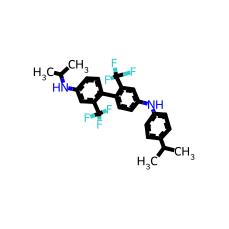 CC(C)Nc1ccc(-c2ccc(Nc3ccc(C(C)C)cc3)cc2C(F)(F)F)c(C(F)(F)F)c1